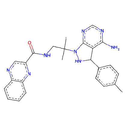 Cc1ccc(C2NN(C(C)(C)CNC(=O)c3cnc4ccccc4n3)c3ncnc(N)c32)cc1